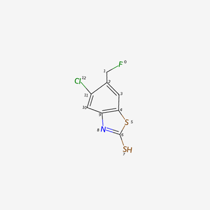 FCc1cc2sc(S)nc2cc1Cl